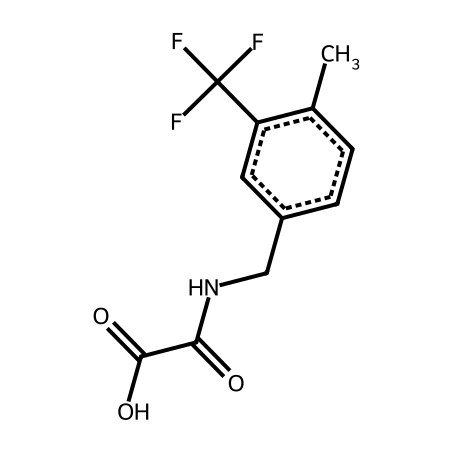 Cc1ccc(CNC(=O)C(=O)O)cc1C(F)(F)F